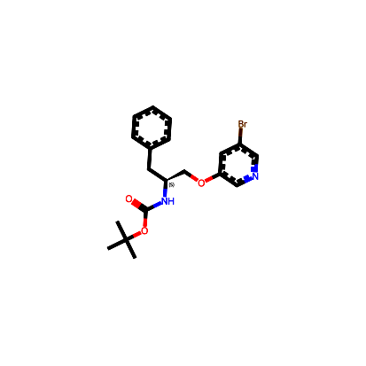 CC(C)(C)OC(=O)N[C@H](COc1cncc(Br)c1)Cc1ccccc1